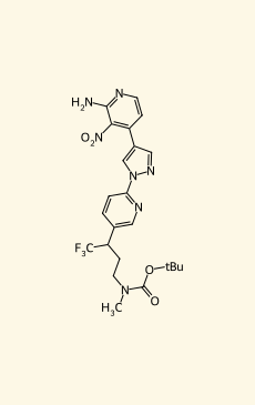 CN(CCC(c1ccc(-n2cc(-c3ccnc(N)c3[N+](=O)[O-])cn2)nc1)C(F)(F)F)C(=O)OC(C)(C)C